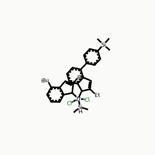 CCC1=Cc2c(-c3ccc([Si](C)(C)C)cc3)cccc2[CH]1[Zr]([Cl])([Cl])([CH]1C(C(C)CC)=Cc2c(C(C)CC)cccc21)[SiH](C)C